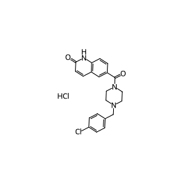 Cl.O=C(c1ccc2[nH]c(=O)ccc2c1)N1CCN(Cc2ccc(Cl)cc2)CC1